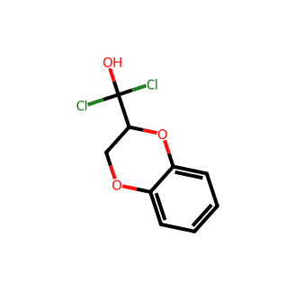 OC(Cl)(Cl)C1COc2ccccc2O1